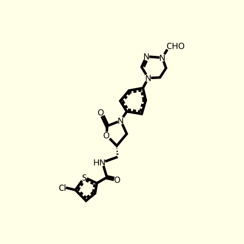 O=CN1CCN(c2ccc(N3C[C@H](CNC(=O)c4ccc(Cl)s4)OC3=O)cc2)C=N1